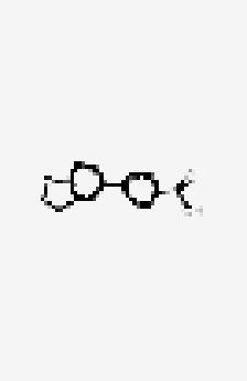 O=C(O)c1ccc(-c2ccc3c(c2)CCO3)cc1